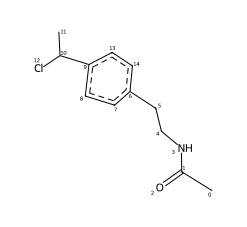 CC(=O)NCCc1ccc(C(C)Cl)cc1